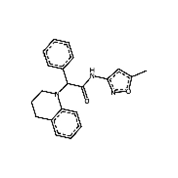 Cc1cc(NC(=O)C(c2ccccc2)N2CCCc3ccccc32)no1